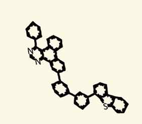 c1ccc(-c2ncnc3c4cc(-c5cccc(-c6cccc(-c7cccc8c7sc7ccccc78)c6)c5)ccc4c4ccccc4c23)cc1